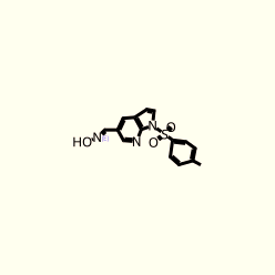 Cc1ccc(S(=O)(=O)n2ccc3cc(/C=N/O)cnc32)cc1